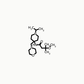 COC(C)(C)CC(=O)NC1(CN2CCOCC2)CCN(C(C)C)CC1